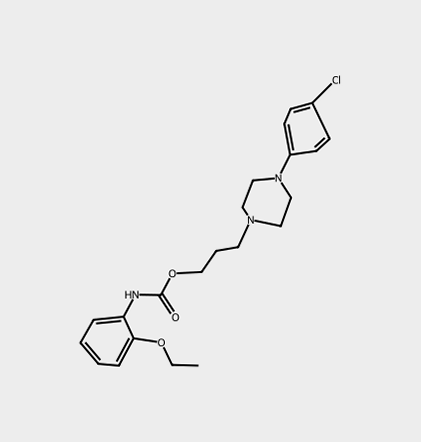 CCOc1ccccc1NC(=O)OCCCN1CCN(c2ccc(Cl)cc2)CC1